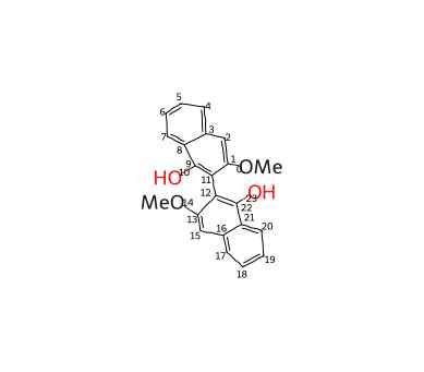 COc1cc2ccccc2c(O)c1-c1c(OC)cc2ccccc2c1O